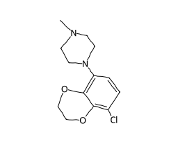 CN1CCN(c2ccc(Cl)c3c2OCCO3)CC1